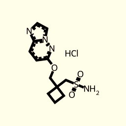 Cl.NS(=O)(=O)CC1(COc2ccc3nccn3n2)CCC1